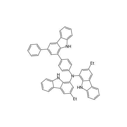 CCc1cc(N(c2ccc(-c3cc(-c4ccccc4)cc4c3[nH]c3ccccc34)cc2)c2cc(CC)cc3c2[nH]c2ccccc23)c2[nH]c3ccccc3c2c1